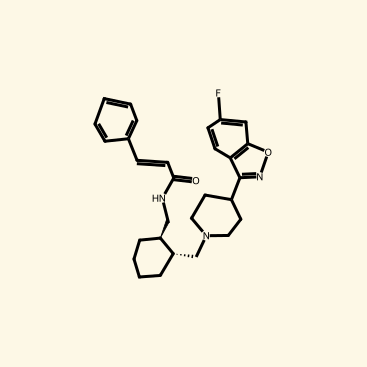 O=C(/C=C/c1ccccc1)NC[C@@H]1CCCC[C@H]1CN1CCC(c2noc3cc(F)ccc23)CC1